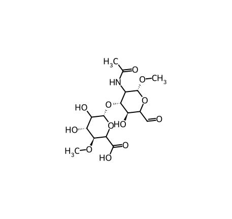 CO[C@@H]1OC(C=O)[C@@H](O)[C@H](O[C@@H]2OC(C(=O)O)[C@@H](OC)[C@H](O)C2O)C1NC(C)=O